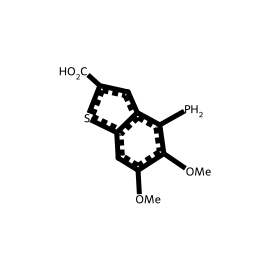 COc1cc2sc(C(=O)O)cc2c(P)c1OC